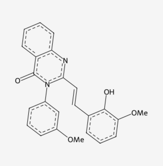 COc1cccc(-n2c(/C=C/c3cccc(OC)c3O)nc3ccccc3c2=O)c1